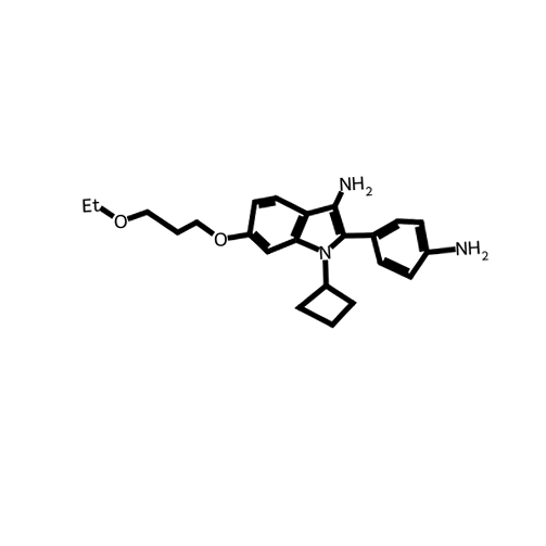 CCOCCCOc1ccc2c(N)c(-c3ccc(N)cc3)n(C3CCC3)c2c1